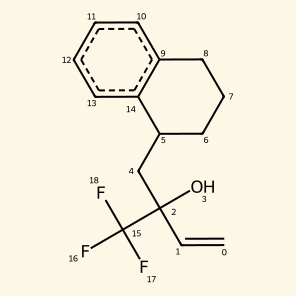 C=CC(O)(CC1CCCc2ccccc21)C(F)(F)F